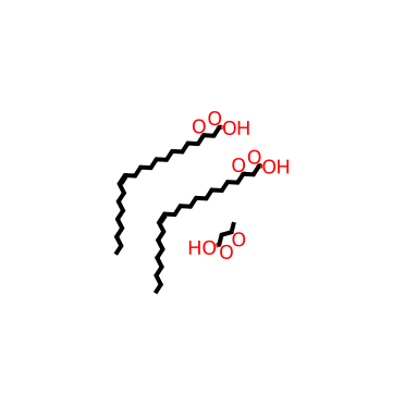 CC(=O)CC(=O)O.CCCCCCCC/C=C\CCCCCCCCCC(=O)CC(=O)O.CCCCCCCC/C=C\CCCCCCCCCC(=O)CC(=O)O